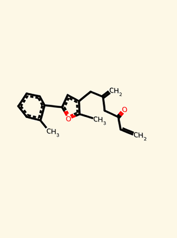 C=CC(=O)CC(=C)Cc1cc(-c2ccccc2C)oc1C